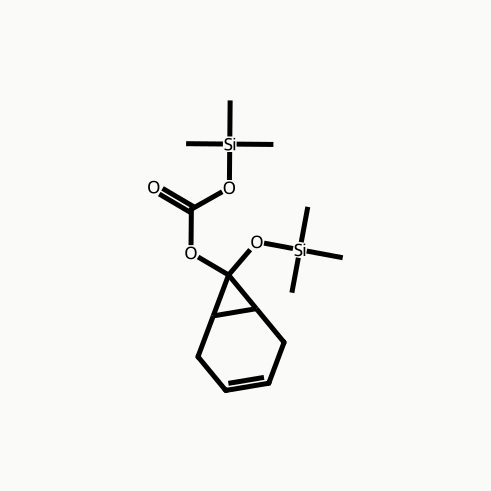 C[Si](C)(C)OC(=O)OC1(O[Si](C)(C)C)C2CC=CCC21